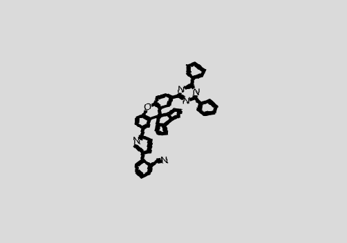 N#Cc1ccccc1-c1ccc(-c2ccc3c(c2)C2(c4cc(-c5nc(-c6ccccc6)nc(-c6ccccc6)n5)ccc4O3)c3ccccc3-c3ccccc32)nc1